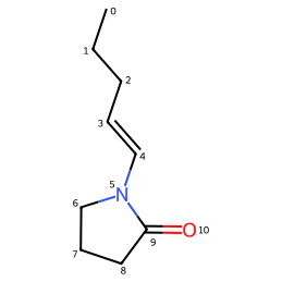 CCCC=CN1CCCC1=O